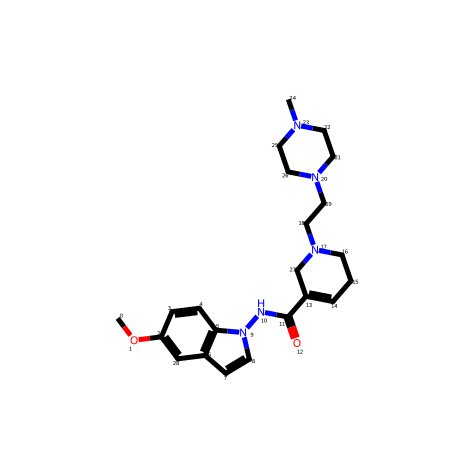 COc1ccc2c(ccn2NC(=O)C2=CCCN(CCN3CCN(C)CC3)C2)c1